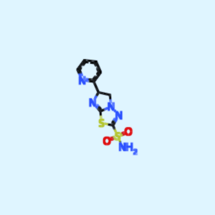 NS(=O)(=O)C1=NN2CC(c3ccccn3)N=C2S1